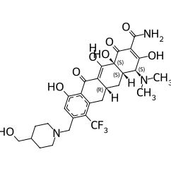 CN(C)[C@@H]1C(O)=C(C(N)=O)C(=O)[C@@]2(O)C(O)=C3C(=O)c4c(O)cc(CN5CCC(CO)CC5)c(C(F)(F)F)c4C[C@H]3C[C@@H]12